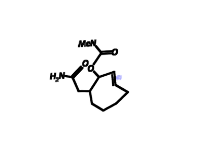 CNC(=O)OC1/C=C/CCCCC1CC(N)=O